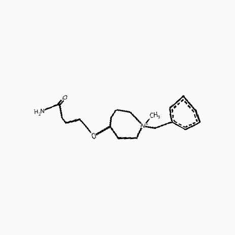 C[N+]1(Cc2ccccc2)CCC(OCCC(N)=O)CC1